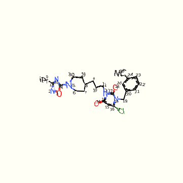 CC(C)c1noc(N2CCC(CCCn3c(=O)cc(Cl)n(Cc4cccc(C#N)c4)c3=O)CC2)n1